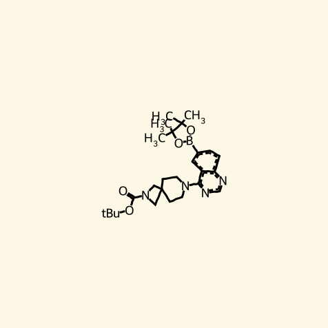 CC(C)(C)OC(=O)N1CC2(CCN(c3ncnc4ccc(B5OC(C)(C)C(C)(C)O5)cc34)CC2)C1